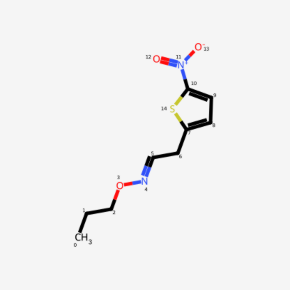 CCCON=CCc1ccc([N+](=O)[O-])s1